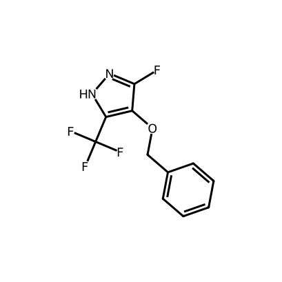 Fc1n[nH]c(C(F)(F)F)c1OCc1ccccc1